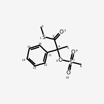 CSC(=O)C(C)(OS(C)(=O)=O)c1ccccc1